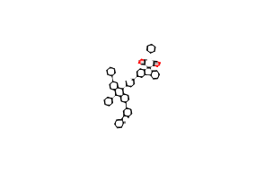 c1ccc(-c2ccc3c(-c4ccccc4)c4cc(-c5ccc6oc7ccccc7c6c5)ccc4c(-c4ccc(-c5ccc6c(c5)-c5ccccc5C65c6ccccc6N(c6ccccc6)c6ccccc65)nc4)c3c2)cc1